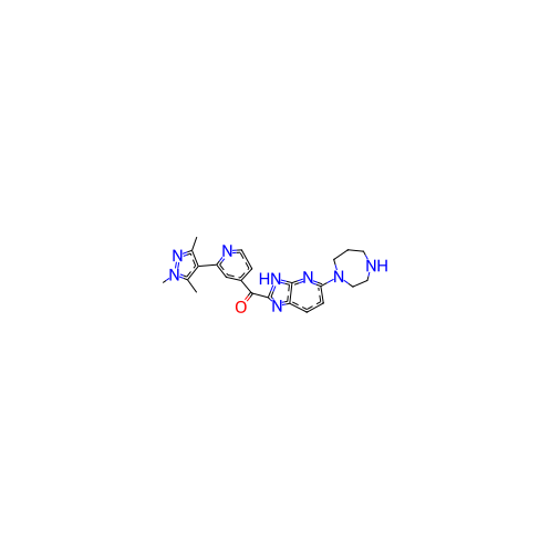 Cc1nn(C)c(C)c1-c1cc(C(=O)c2nc3ccc(N4CCCNCC4)nc3[nH]2)ccn1